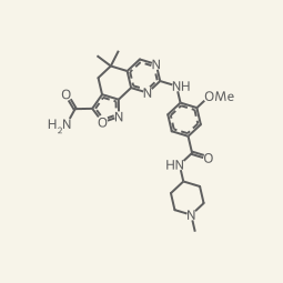 COc1cc(C(=O)NC2CCN(C)CC2)ccc1Nc1ncc2c(n1)-c1noc(C(N)=O)c1CC2(C)C